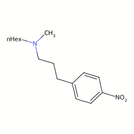 CCCCCCN(C)CCCc1ccc([N+](=O)[O-])cc1